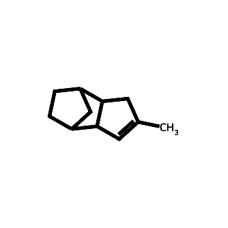 CC1=CC2C3CCC(C3)C2C1